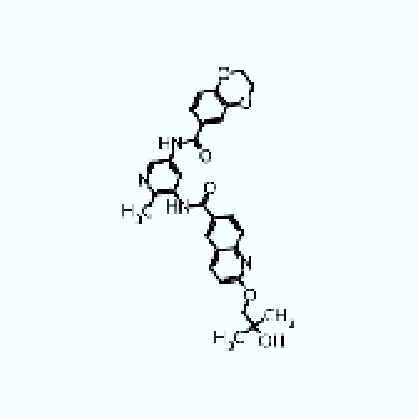 Cc1ncc(NC(=O)c2ccc3c(c2)OCCO3)cc1NC(=O)c1ccc2nc(OCC(C)(C)O)ccc2c1